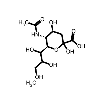 CC(=O)N[C@@H]1[C@@H](O)CC(O)(C(=O)O)O[C@H]1C(O)C(O)CO.O